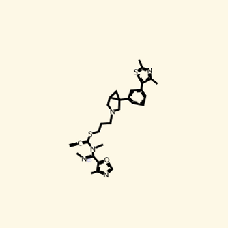 C=C=C(SCCCN1CC2CC2(c2cccc(-c3sc(C)nc3C)c2)C1)N(C)/C(=N\C)c1ocnc1C